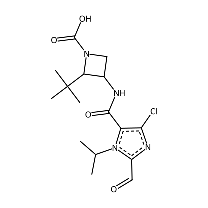 CC(C)n1c(C=O)nc(Cl)c1C(=O)NC1CN(C(=O)O)C1C(C)(C)C